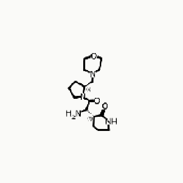 NC(C(=O)N1CCC[C@H]1CN1CCOCC1)[C@H]1CCCNC1=O